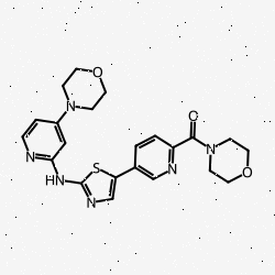 O=C(c1ccc(-c2cnc(Nc3cc(N4CCOCC4)ccn3)s2)cn1)N1CCOCC1